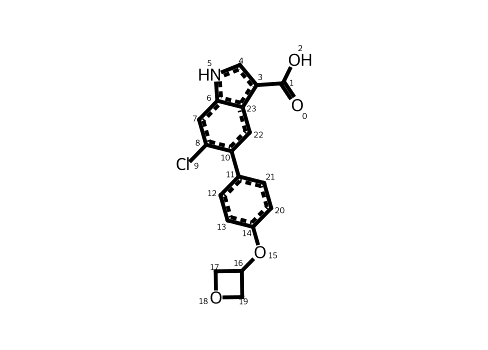 O=C(O)c1c[nH]c2cc(Cl)c(-c3ccc(OC4COC4)cc3)cc12